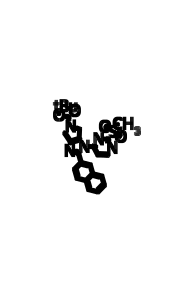 CC(C)(C)OC(=O)N1Cc2nc(-c3ccc4ccccc4c3)n(-c3ccnc(S(C)(=O)=O)n3)c2C1